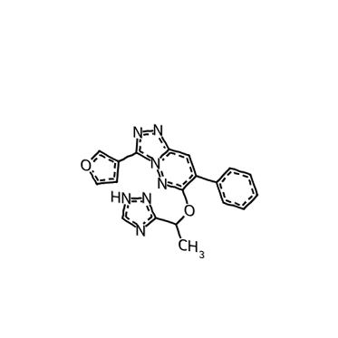 CC(Oc1nn2c(-c3ccoc3)nnc2cc1-c1ccccc1)c1nc[nH]n1